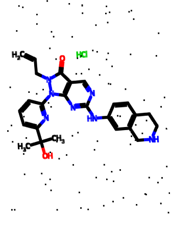 C=CCn1c(=O)c2cnc(Nc3ccc4c(c3)CNCC4)nc2n1-c1cccc(C(C)(C)O)n1.Cl